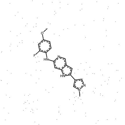 COc1ccc(Nc2cc3[nH]c(-c4cnn(C)c4)cc3cn2)c(F)c1